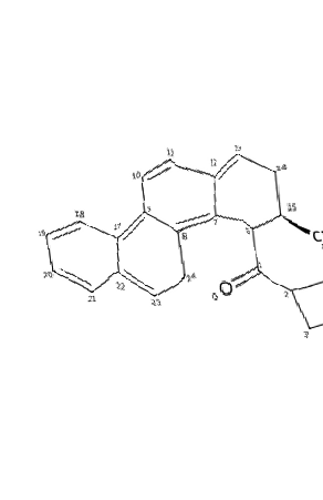 O=C(C1COC1)C1c2c3c(ccc2=CC[C@H]1C(F)(F)F)=c1ccccc1=CC3